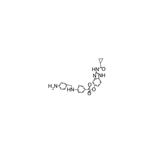 Nc1ccc(CNc2ccc(S(=O)(=O)Oc3ccc4[nH]c(NC(=O)C5CC5)nc4c3)cc2)cc1